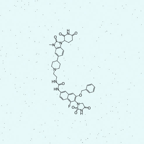 Cn1c(=O)n(C2CCC(=O)NC2=O)c2ccc(C3CCN(CCNC(=O)Nc4ccc5c(F)c(N6CC(=O)NS6(=O)=O)c(OCc6ccccc6)cc5c4)CC3)cc21